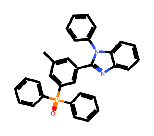 Cc1cc(-c2nc3ccccc3n2-c2ccccc2)cc(P(=O)(c2ccccc2)c2ccccc2)c1